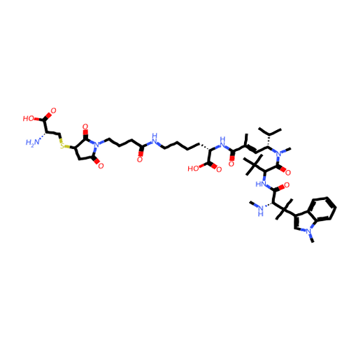 CN[C@H](C(=O)NC(C(=O)N(C)[C@H](/C=C(\C)C(=O)N[C@@H](CCCCNC(=O)CCCN1C(=O)CC(SC[C@H](N)C(=O)O)C1=O)C(=O)O)C(C)C)C(C)(C)C)C(C)(C)c1cn(C)c2ccccc12